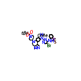 COc1cc2c(cc1Nc1ncc(Br)c(Nc3ccccc3P(C)(C)=S)n1)-c1cnn(C)c1CCN2C1CCN(C(=O)OC(C)(C)C)CC1